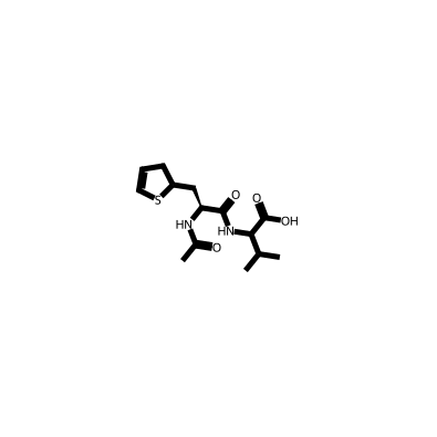 CC(=O)N[C@@H](CC1CC=CS1)C(=O)NC(C(=O)O)C(C)C